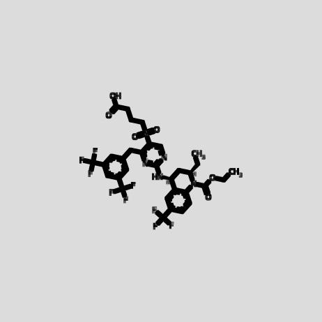 CCOC(=O)N1c2ccc(C(F)(F)F)cc2[C@@H](Nc2ncc(S(=O)(=O)CCCC(=O)O)c(Cc3cc(C(F)(F)F)cc(C(F)(F)F)c3)n2)C[C@H]1CC